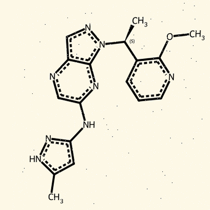 COc1ncccc1[C@H](C)n1ncc2ncc(Nc3cc(C)[nH]n3)nc21